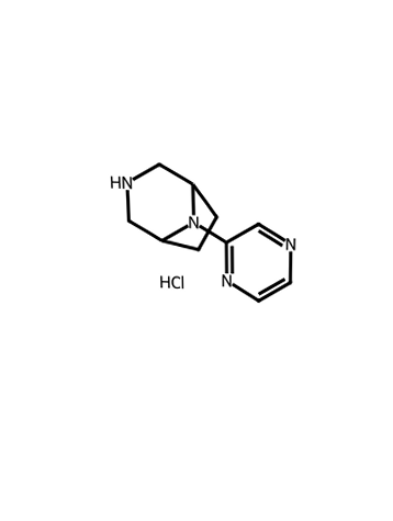 Cl.c1cnc(N2C3CCC2CNC3)cn1